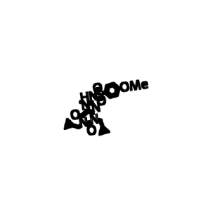 COc1ccc(S(=O)(=O)Nc2nc3c(c(=O)n(CC4CC4)c(=O)n3CC3CC3)n2C)cc1